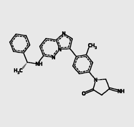 Cc1cc(N2CC(=N)CC2=O)ccc1-c1cnc2ccc(N[C@H](C)c3ccccc3)nn12